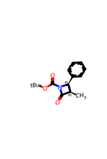 C[C@H]1C(=O)N(C(=O)OC(C)(C)C)[C@H]1c1ccccc1